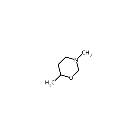 CC1CCN(C)CO1